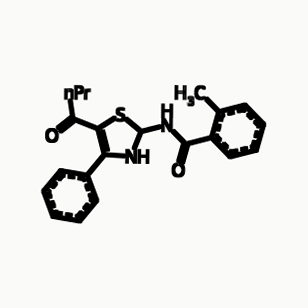 CCCC(=O)C1=C(c2ccccc2)NC(NC(=O)c2ccccc2C)S1